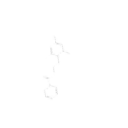 Cc1cc(C)c(CCO[PH](=O)c2ccccc2)c(C)c1